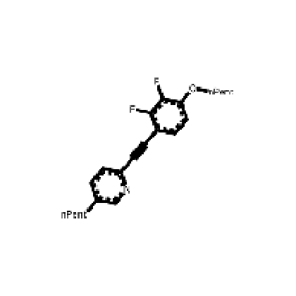 CCCCCOc1ccc(C#Cc2ccc(CCCCC)cn2)c(F)c1F